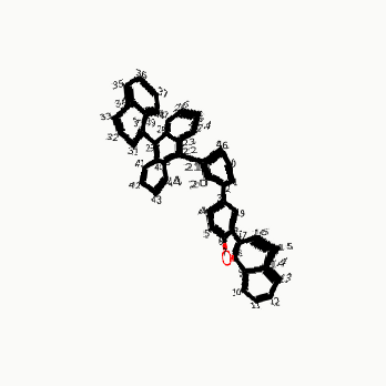 c1cc(-c2ccc3oc4c5ccccc5ccc4c3c2)cc(-c2c3ccccc3c(-c3cccc4ccccc34)c3ccccc23)c1